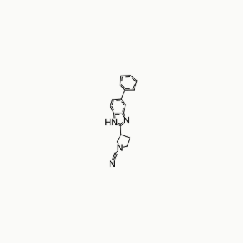 N#CN1CCC(c2nc3cc(-c4ccccc4)ccc3[nH]2)C1